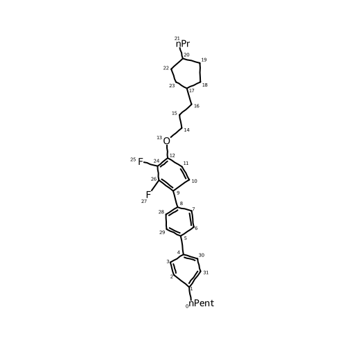 CCCCCc1ccc(-c2ccc(-c3ccc(OCCCC4CCC(CCC)CC4)c(F)c3F)cc2)cc1